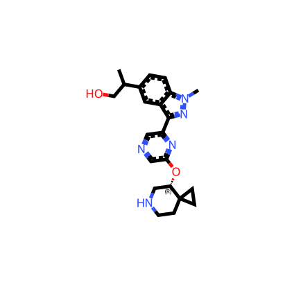 CC(CO)c1ccc2c(c1)c(-c1cncc(O[C@H]3CNCCC34CC4)n1)nn2C